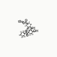 CC(C)(C)OC(=O)N1CCC(Nc2cc(S(=O)(=O)c3ccccc3)ccc2O)C(F)C1